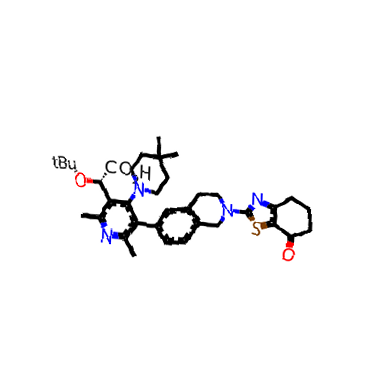 Cc1nc(C)c([C@H](OC(C)(C)C)C(=O)O)c(N2CCC(C)(C)CC2)c1-c1ccc2c(c1)CCN(c1nc3c(s1)C(=O)CCC3)C2